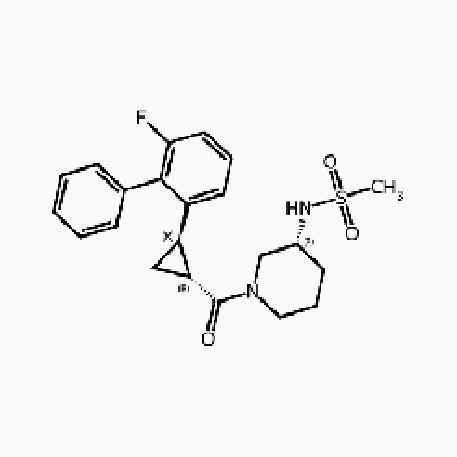 CS(=O)(=O)N[C@@H]1CCCN(C(=O)[C@@H]2C[C@H]2c2cccc(F)c2-c2ccccc2)C1